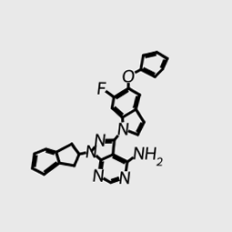 Nc1ncnc2c1c(-n1ccc3cc(Oc4ccccc4)c(F)cc31)nn2C1Cc2ccccc2C1